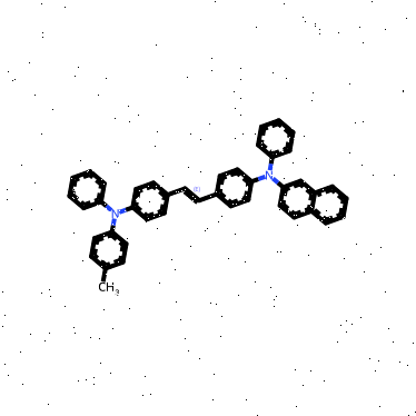 Cc1ccc(N(c2ccccc2)c2ccc(/C=C/c3ccc(N(c4ccccc4)c4ccc5ccccc5c4)cc3)cc2)cc1